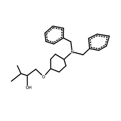 CC(C)C(O)COC1CCC(N(Cc2ccccc2)Cc2ccccc2)CC1